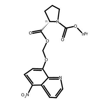 CCCOC(=O)N1CCC[C@H]1C(=O)OCOc1ccc([N+](=O)[O-])c2cccnc12